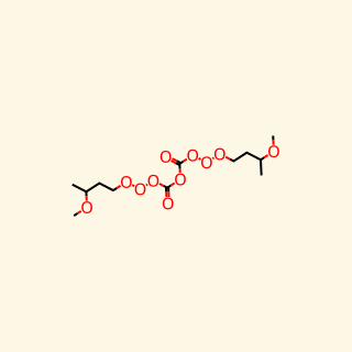 COC(C)CCOOOC(=O)OC(=O)OOOCCC(C)OC